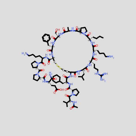 CCCC[C@@H]1NC(=O)[C@H](CCCCN)NC(=O)[C@H](CCCNC(=N)N)NC(=O)[C@H](CC(C)C)NC(=O)C(NC(=O)[C@H](CC2CCCCC2)NC(=O)[C@@H]2CCCN2C(=O)[C@@H](NC(C)=O)C(C)C)CCSSC[C@@H](C(=O)NC(CCCCN)C(=O)N2CCC[C@H]2C(=O)N2CCC[C@H]2C(=O)N[C@@H](CCC(=O)O)C(N)=O)NC(=O)[C@H](Cc2ccccc2)NC(=O)[C@H](CO)NC(=O)C(C)NC(=O)[C@@H]2CCCN2C1=O